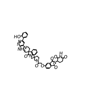 Nc1nnc(-c2ccccc2O)cc1N1CCC(C(=O)N2CC3(CCN(C(=O)COc4ccc5c(c4)C(=O)N(C4CCC(=O)NC4=O)C5=O)C3)C2)(c2ccccc2)CC1